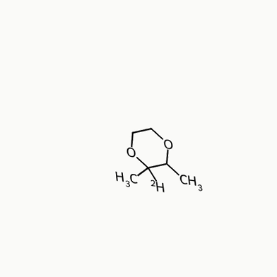 [2H]C1(C)OCCOC1C